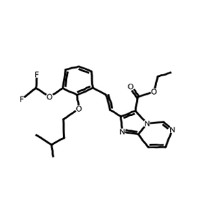 CCOC(=O)c1c(C=Cc2cccc(OC(F)F)c2OCCC(C)C)nc2ccncn12